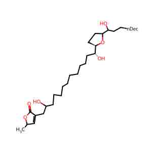 CCCCCCCCCCCCC(O)C1CC[C@H]([C@H](O)CCCCCCCCCCC(O)CC2=CC(C)OC2=O)O1